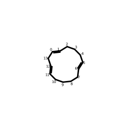 C1=C/CCC/C=C/CCCC/C=C/C/1